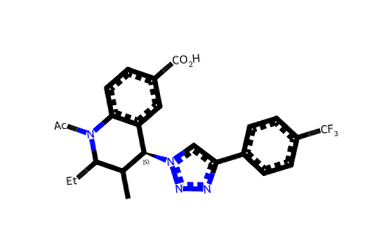 CCC1C(C)[C@H](n2cc(-c3ccc(C(F)(F)F)cc3)nn2)c2cc(C(=O)O)ccc2N1C(C)=O